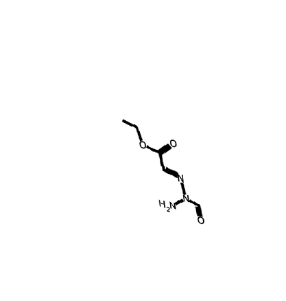 CCOC(=O)C=NN(N)C=O